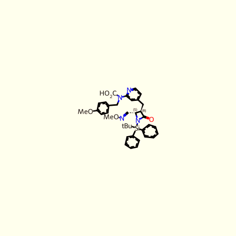 CON=C[C@@H]1[C@@H](Cc2ccnc(N(Cc3ccc(OC)cc3)C(=O)O)c2)C(=O)N1[Si](c1ccccc1)(c1ccccc1)C(C)(C)C